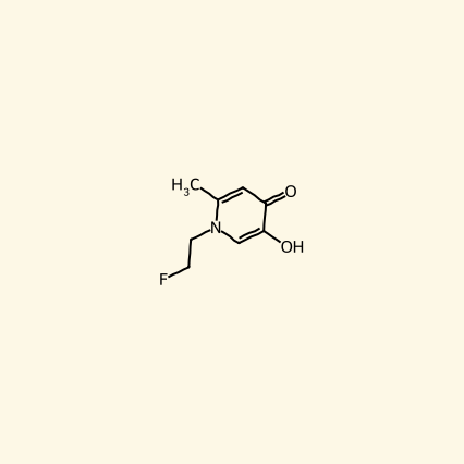 Cc1cc(=O)c(O)cn1CCF